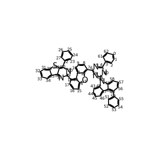 c1ccc(-c2nc(-c3cccc4c3oc3cccc(-c5nc(-c6ccccc6)c6sc7ccccc7c6n5)c34)nc(-n3c4ccccc4c4c(-c5ccccc5)cccc43)n2)cc1